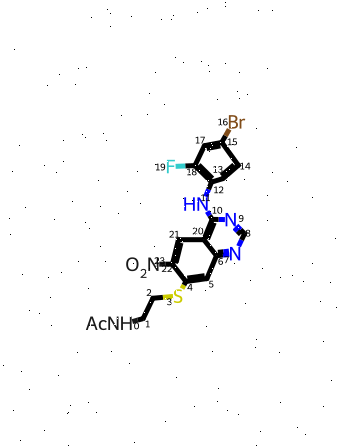 CC(=O)NCCSc1cc2ncnc(Nc3ccc(Br)cc3F)c2cc1[N+](=O)[O-]